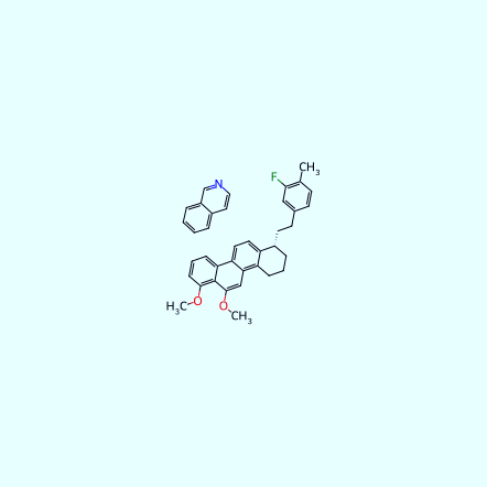 COc1cccc2c1c(OC)cc1c3c(ccc12)[C@H](CCc1ccc(C)c(F)c1)CCC3.c1ccc2cnccc2c1